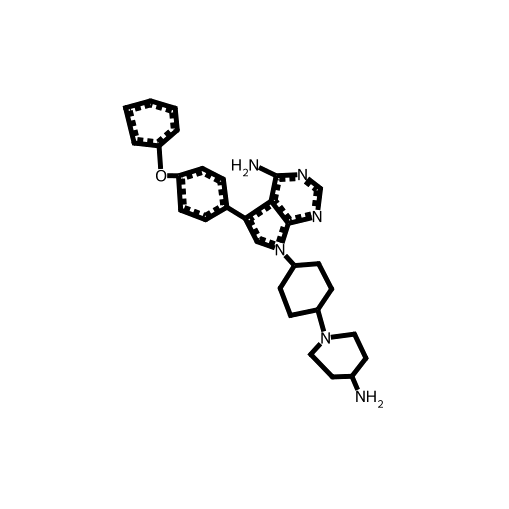 Nc1ncnc2c1c(-c1ccc(Oc3ccccc3)cc1)cn2C1CCC(N2CCC(N)CC2)CC1